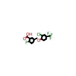 O=C(O)c1cc(COc2ccc(C(F)(F)F)cc2Cl)ccc1F